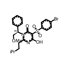 COC[C@@H](c1ccccc1)n1c(CCC(C)C)nc(O)c(S(=O)(=O)c2ccc(Br)cc2)c1=O